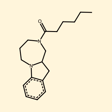 CCCCCC(=O)N1CCCN2c3ccccc3CC2C1